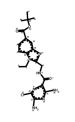 CCn1c(CNC(=O)c2nc(Cl)c(N)nc2N)nc2cc(C(=O)OC(C)(C)C)ccc21